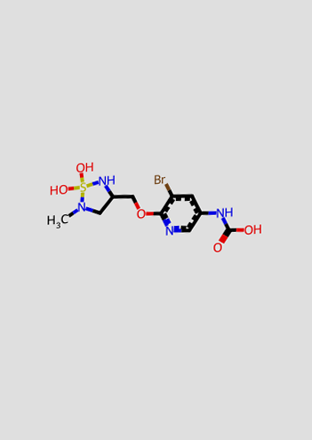 CN1CC(COc2ncc(NC(=O)O)cc2Br)NS1(O)O